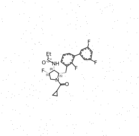 CC[S+]([O-])N[C@H]1[C@@H](F)CN(C(=O)C2CC2)[C@H]1Cc1cccc(-c2cc(F)cc(F)c2)c1F